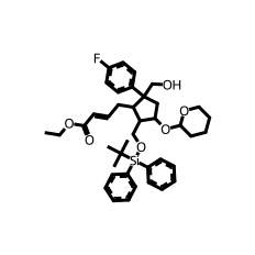 CCOC(=O)/C=C/CC1C(CO[Si](c2ccccc2)(c2ccccc2)C(C)(C)C)C(OC2CCCCO2)CC1(CO)c1ccc(F)cc1